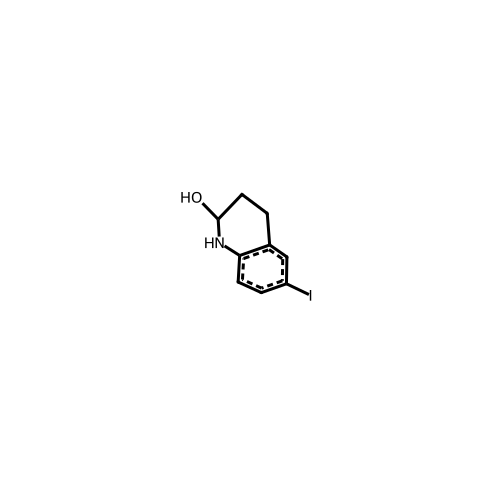 OC1CCc2cc(I)ccc2N1